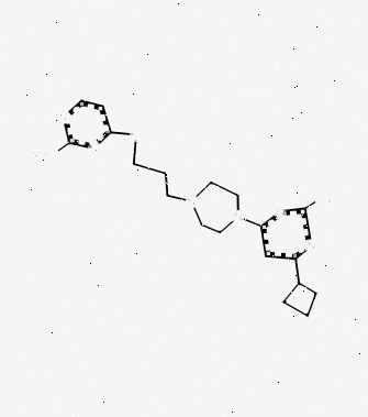 CSc1nccc(OCCCN2CCN(c3cc(C4CCC4)nc(C(C)(C)C)n3)CC2)n1